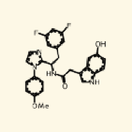 COc1ccc(-n2ccnc2C(Cc2cc(F)cc(F)c2)NC(=O)Cc2c[nH]c3ccc(O)cc23)cc1